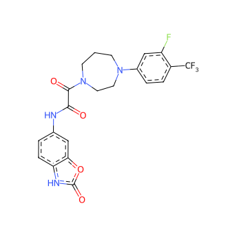 O=C(Nc1ccc2[nH]c(=O)oc2c1)C(=O)N1CCCN(c2ccc(C(F)(F)F)c(F)c2)CC1